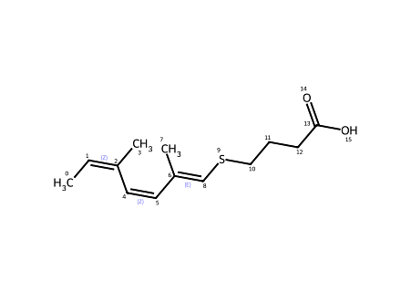 C\C=C(C)/C=C\C(C)=C\SCCCC(=O)O